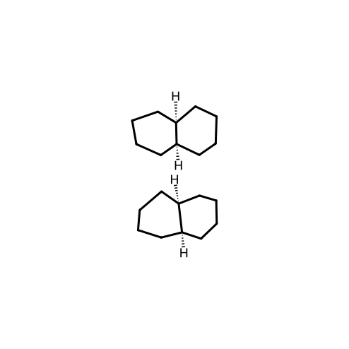 C1CC[C@H]2CCCC[C@H]2C1.C1CC[C@H]2CCCC[C@H]2C1